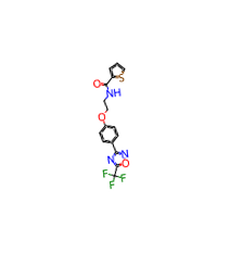 O=C(NCCOc1ccc(-c2noc(C(F)(F)F)n2)cc1)c1cccs1